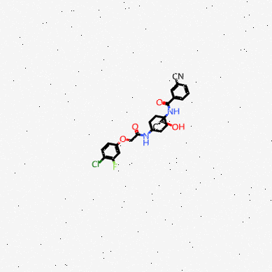 N#Cc1cccc(C(=O)NC23CCC(NC(=O)COc4ccc(Cl)c(F)c4)(CC2)CC3O)c1